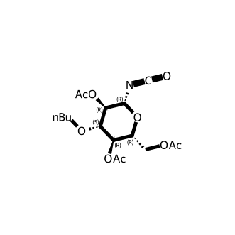 CCCCO[C@@H]1[C@@H](OC(C)=O)[C@H](N=C=O)O[C@H](COC(C)=O)[C@H]1OC(C)=O